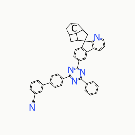 N#Cc1cccc(-c2ccc(-c3nc(-c4ccccc4)nc(-c4ccc5c(c4)-c4cccnc4C54C5CC6CC7CC4C7(C6)C5)n3)cc2)c1